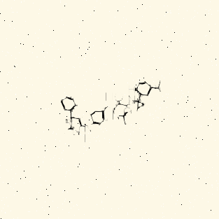 CC(=O)N[C@@H](Cc1ccc(Nc2cc(-c3ccccc3)ncn2)cc1)[C@@H](O)CNC1(c2cccc(C(C)C)c2)CC1